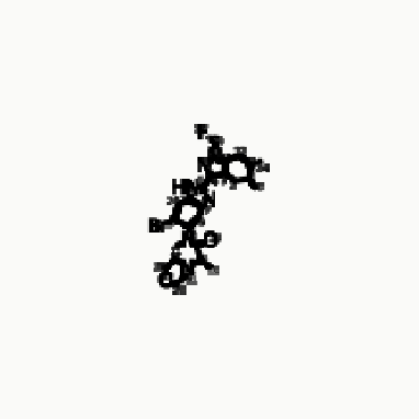 CC1Cc2c(-c3nc4cc(N(C)C(=O)C(C)N5CCOCC5)c(Br)cc4[nH]3)nn(SF)c2C[C@H]1C